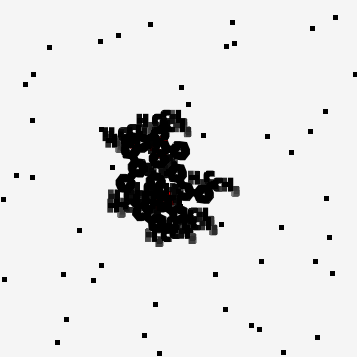 CC(C)c1cccc(-c2cc(-c3ccc4c(c3)B3c5cc(-c6cccc(-n7c8cc(C(C)(C)C)ccc8c8ccc(C(C)(C)C)cc87)n6)ccc5N(c5cc(-c6ccccc6)cc(-c6ccccc6)c5)c5cc(-n6c7ccc(C(C)(C)C)cc7c7cc(C(C)(C)C)ccc76)cc(c53)N4c3ccccc3-c3ccccc3)nc(-n3c4cc(C(C)(C)C)ccc4c4ccc(C(C)(C)C)cc43)c2)c1